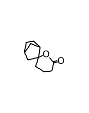 O=C1CCCC2(CC3CCC2C3)O1